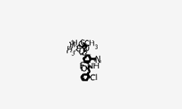 CC1(C)OB(c2cc(F)c(NC(=O)Cc3ccccc3Cl)c(C#N)c2)OC1(C)C